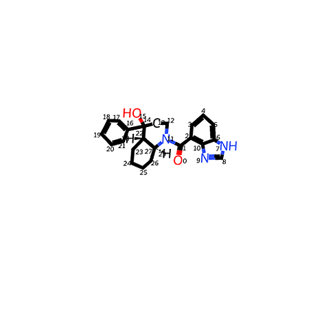 O=C(c1cccc2[nH]cnc12)N1CCC(O)(c2ccccc2)[C@H]2CCCC[C@@H]21